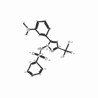 CN(C)c1cccc(-c2cc(C(F)(F)F)nn2NS(=O)(=O)c2ccccc2)c1